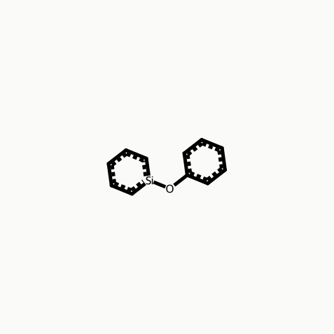 c1ccc(O[si]2ccccc2)cc1